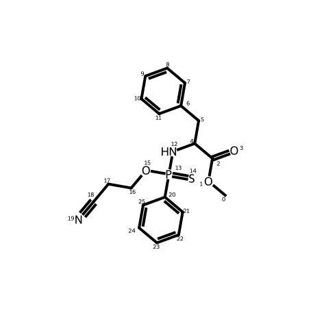 COC(=O)C(Cc1ccccc1)NP(=S)(OCCC#N)c1ccccc1